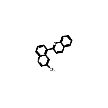 FC(F)(F)c1cnc2cccc(-c3ccc4ccccc4n3)c2c1